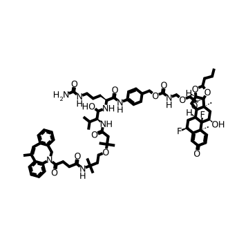 CCCC1O[C@@H]2CC3[C@@H]4C[C@H](F)C5=CC(=O)C=C[C@]5(C)[C@@]4(F)[C@@H](O)C[C@]3(C)[C@]2(C(=O)COCNC(=O)OCC2C=CC(NC(=O)[C@H](CCCNC(N)=O)NC(O)[C@@H](NC(=O)CC(C)(C)OCCC(C)(C)NC(=O)CCC(=O)N3Cc4ccccc4/C=C(/C)c4ccccc43)C(C)C)=CC2)O1